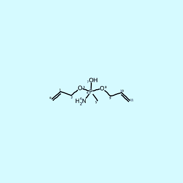 C=CCOP(C)(N)(O)OCC=C